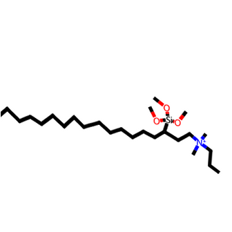 CCCCCCCCCCCCCCCC(CC[N+](C)(C)CCC)[Si](OC)(OC)OC